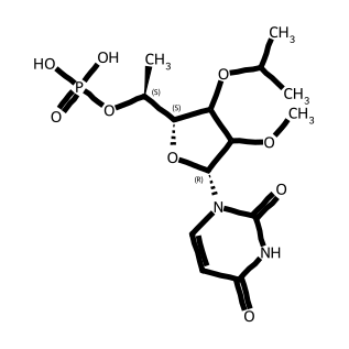 COC1C(OC(C)C)[C@@H]([C@H](C)OP(=O)(O)O)O[C@H]1n1ccc(=O)[nH]c1=O